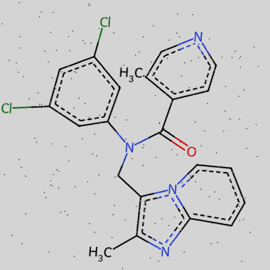 Cc1cnccc1C(=O)N(Cc1c(C)nc2ccccn12)c1cc(Cl)cc(Cl)c1